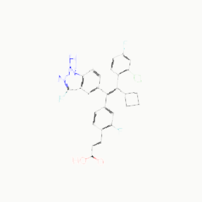 O=C(O)C=Cc1ccc(C(=C(c2ccc(F)cc2Cl)C2CCC2)c2ccc3[nH]nc(F)c3c2)cc1F